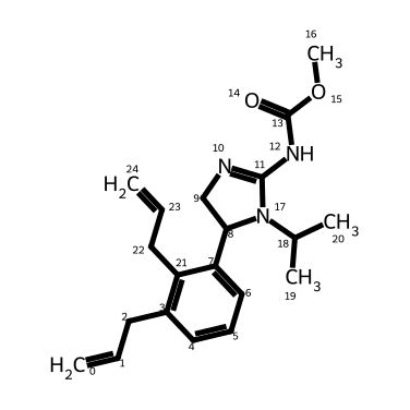 C=CCc1cccc(C2CN=C(NC(=O)OC)N2C(C)C)c1CC=C